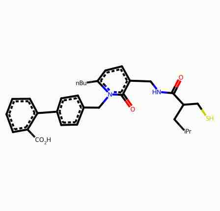 CCCCc1ccc(CNC(=O)C(CS)CC(C)C)c(=O)n1Cc1ccc(-c2ccccc2C(=O)O)cc1